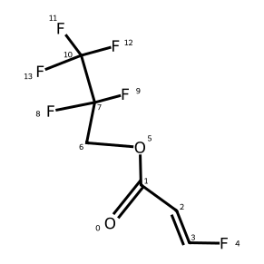 O=C(C=CF)OCC(F)(F)C(F)(F)F